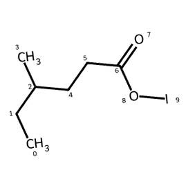 CCC(C)CCC(=O)OI